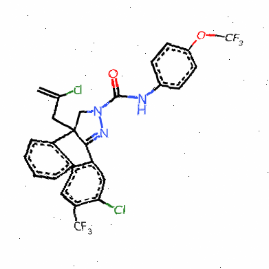 C=C(Cl)CC1(c2ccccc2)CN(C(=O)Nc2ccc(OC(F)(F)F)cc2)N=C1c1ccc(C(F)(F)F)c(Cl)c1